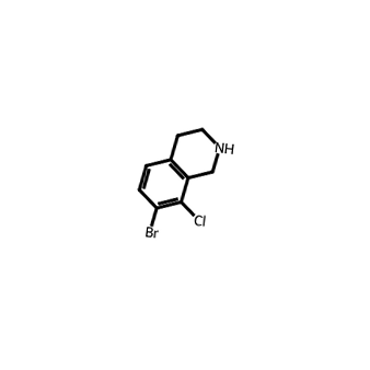 Clc1c(Br)ccc2c1CNCC2